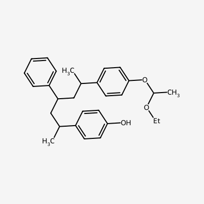 CCOC(C)Oc1ccc(C(C)CC(CC(C)c2ccc(O)cc2)c2ccccc2)cc1